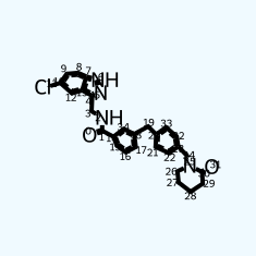 O=C(NCc1n[nH]c2ccc(Cl)cc12)c1cccc(Cc2ccc(CN3CCCCC3=O)cc2)c1